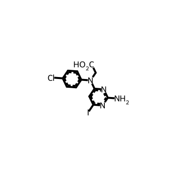 Nc1nc(I)cc(N(CC(=O)O)c2ccc(Cl)cc2)n1